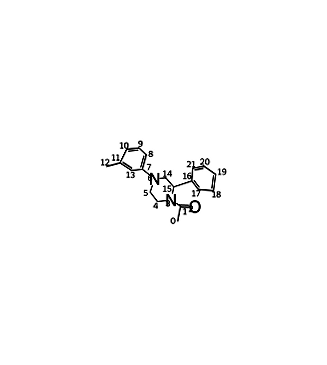 CC(=O)N1CCN(c2cccc(C)c2)CC1c1ccccc1